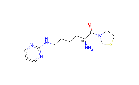 N[C@@H](CCCCNc1ncccn1)C(=O)N1CCSC1